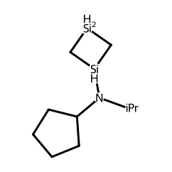 CC(C)N(C1CCCC1)[SiH]1C[SiH2]C1